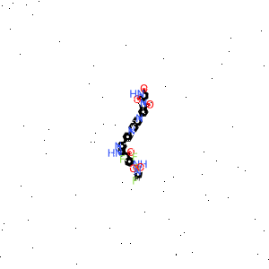 O=C1CCC(N2Cc3cc(N4CCC5(CCN(c6ccc(-c7cnc8[nH]cc(C(=O)c9c(F)ccc(NS(=O)(=O)N%10CC[C@@H](F)C%10)c9F)c8c7)cc6)CC5)CC4)ccc3C2=O)C(=O)N1